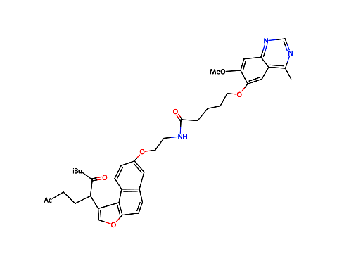 CCC(C)C(=O)C(CCC(C)=O)c1coc2ccc3cc(OCCNC(=O)CCCCOc4cc5c(C)ncnc5cc4OC)ccc3c12